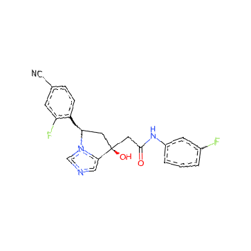 N#Cc1ccc([C@H]2C[C@](O)(CC(=O)Nc3cccc(F)c3)c3cncn32)c(F)c1